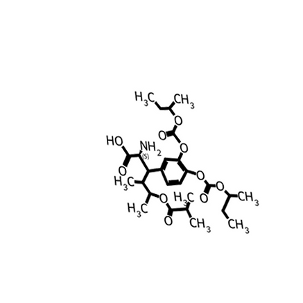 CCC(C)OC(=O)Oc1ccc(C(C(C)C(C)OC(=O)C(C)C)[C@H](N)C(=O)O)cc1OC(=O)OC(C)CC